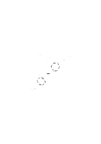 COCOc1ccc(/C=C/c2ccc(CN)cc2)cc1OCOC